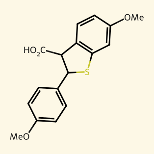 COc1ccc(C2Sc3cc(OC)ccc3C2C(=O)O)cc1